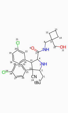 CC(C)(C)CC1NC(C(=O)NCC2(CO)CCC2)C(c2cccc(Cl)c2)C1(C#N)c1ccc(Cl)cc1